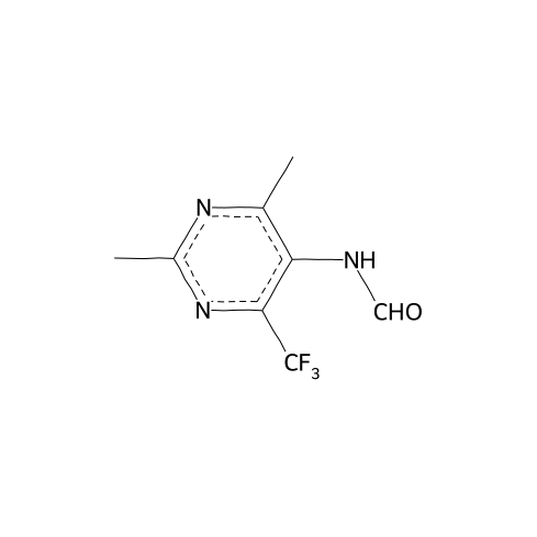 Cc1nc(C)c(NC=O)c(C(F)(F)F)n1